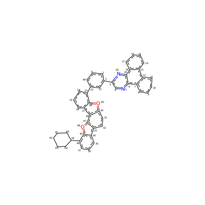 c1cc(-c2cnc3c4ccccc4c4ccccc4c3n2)cc(-c2cccc3c2oc2ccc4c5cccc(C6CCCCC6)c5oc4c23)c1